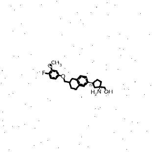 COc1cc(OCC2CCc3cc([C@H]4CC[C@](N)(CO)C4)ccc3C2)ccc1F